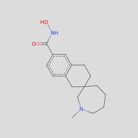 CN1CCCCC2(CCc3cc(C(=O)NO)ccc3C2)C1